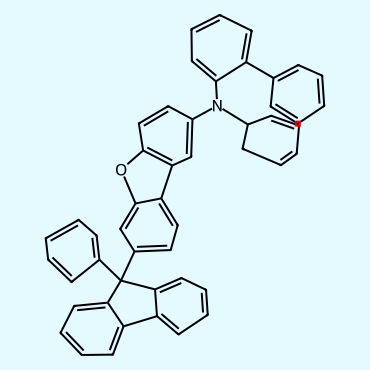 C1=CCC(N(c2ccc3oc4cc(C5(c6ccccc6)c6ccccc6-c6ccccc65)ccc4c3c2)c2ccccc2-c2ccccc2)C=C1